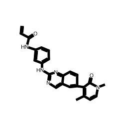 C=CC(=O)Nc1cccc(Nc2ncc3cc(-c4c(C)ccn(C)c4=O)ccc3n2)c1